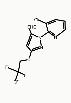 O=Cc1cc(OCC(F)(F)C(F)(F)F)nn1-c1ncccc1Cl